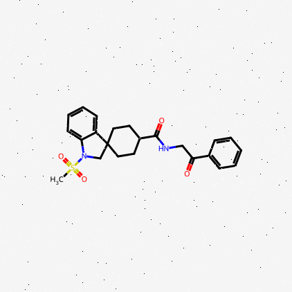 CS(=O)(=O)N1CC2(CCC(C(=O)NCC(=O)c3ccccc3)CC2)c2ccccc21